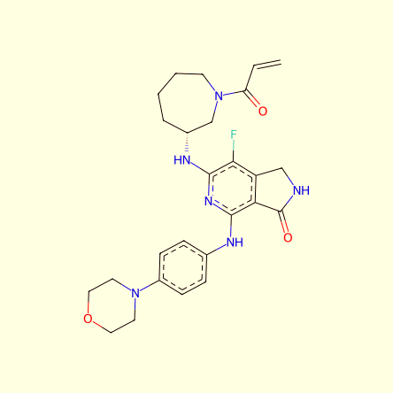 C=CC(=O)N1CCCC[C@@H](Nc2nc(Nc3ccc(N4CCOCC4)cc3)c3c(c2F)CNC3=O)C1